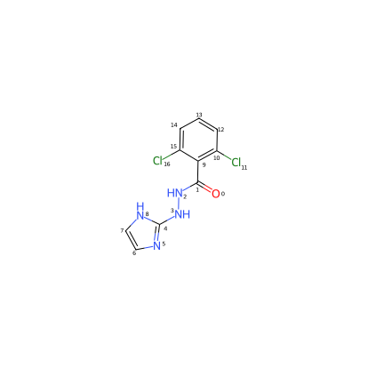 O=C(NNc1ncc[nH]1)c1c(Cl)cccc1Cl